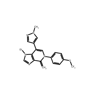 C=C1c2ncn(CC)c2C(c2cnn(C)c2)=CN1c1ccc(OC(F)(F)F)cc1